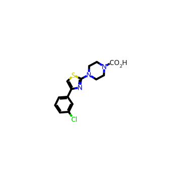 O=C(O)N1CCN(c2nc(-c3cccc(Cl)c3)cs2)CC1